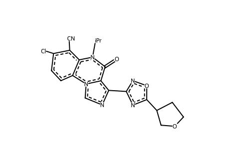 CC(C)n1c(=O)c2c(-c3noc(C4CCOC4)n3)ncn2c2ccc(Cl)c(C#N)c21